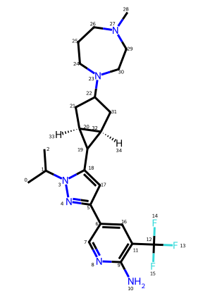 CC(C)n1nc(-c2cnc(N)c(C(F)(F)F)c2)cc1C1[C@H]2CC(N3CCCN(C)CC3)C[C@@H]12